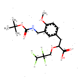 COc1ccc(CC(OCC(F)(F)C(F)F)C(=O)O)cc1CNC(=O)OC(C)(C)C